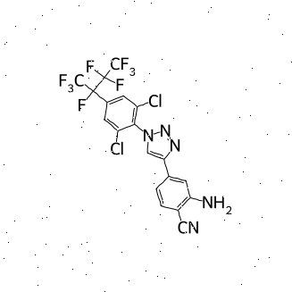 N#Cc1ccc(-c2cn(-c3c(Cl)cc(C(F)(C(F)(F)F)C(F)(F)C(F)(F)F)cc3Cl)nn2)cc1N